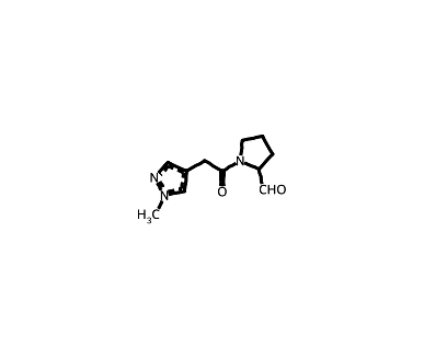 Cn1cc(CC(=O)N2CCCC2C=O)cn1